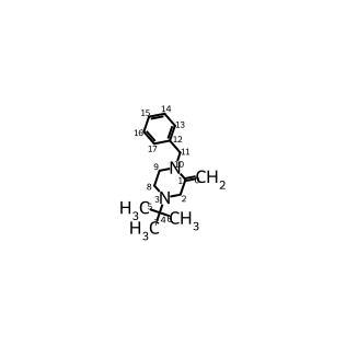 C=C1CN(C(C)(C)C)CCN1Cc1ccccc1